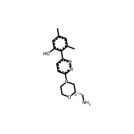 Cc1cc(C)c(-c2ccc(N3CCO[C@@H](CN)C3)nn2)c(O)c1